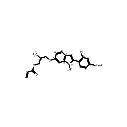 C=CC(=O)OCC(COc1ccc2cc(-c3ccc(CCCCC)cc3C(F)(F)F)n(C(C)C)c2c1)C(F)(F)F